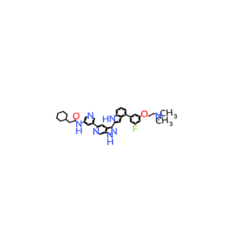 CN(C)CCOc1cc(F)cc(-c2cccc3[nH]c(-c4n[nH]c5cnc(-c6cncc(NC(=O)CC7CCCCC7)c6)cc45)cc23)c1